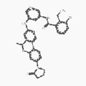 CC(=O)OCc1c(Br)cccc1C(=O)Nc1cncc(Nc2cc3c(cn2)-c2ccc(N4CCCC4=O)cc2OC3C)c1